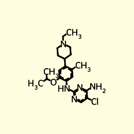 CCN1CCC(c2cc(OC(C)C)c(Nc3ncc(Cl)c(N)n3)cc2C)CC1